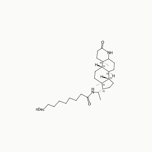 CCCCCCCCCCCCCCCCCC(=O)NC(C)[C@H]1CC[C@H]2[C@@H]3CCC4NC(=O)CC[C@]4(C)[C@H]3CC[C@]12C